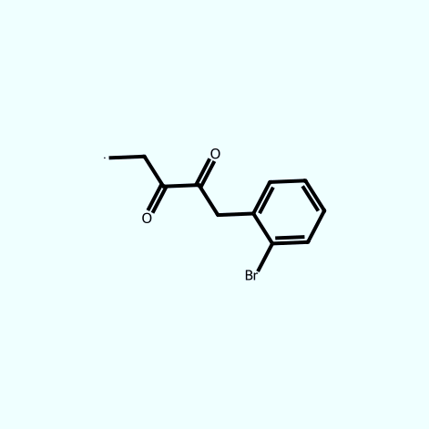 [CH2]CC(=O)C(=O)Cc1ccccc1Br